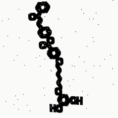 O=C(C=Cc1ccc(OC(=O)c2ccc(OCCCCCCOc3cc(O)cc(O)c3)cc2)cc1)c1ccccc1